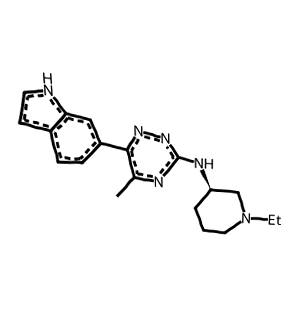 CCN1CCC[C@@H](Nc2nnc(-c3ccc4cc[nH]c4c3)c(C)n2)C1